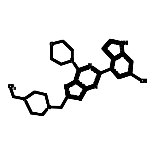 N#Cc1cc(-c2nc(N3CCOCC3)c3sc(CN4CCN(CC(F)(F)F)CC4)cc3n2)c2cc[nH]c2c1